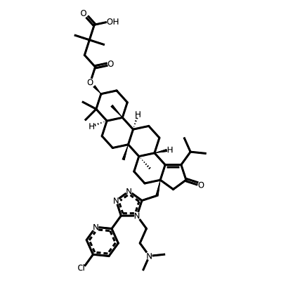 CC(C)C1=C2[C@H]3CC[C@@H]4[C@@]5(C)CC[C@H](OC(=O)CC(C)(C)C(=O)O)C(C)(C)[C@@H]5CC[C@@]4(C)[C@]3(C)CC[C@@]2(Cc2nnc(-c3ccc(Cl)cn3)n2CCN(C)C)CC1=O